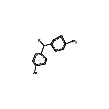 CC(=O)c1ccc(C(F)c2ccc(C(F)(F)F)cc2)cc1